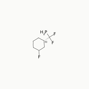 FC1CCC[C@H](C(F)(F)P)C1